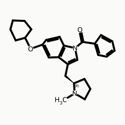 CN1CCC[C@@H]1Cc1cn(C(=O)c2ccccc2)c2ccc(OC3CCCCC3)cc12